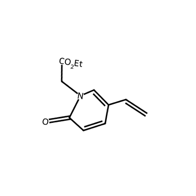 C=Cc1ccc(=O)n(CC(=O)OCC)c1